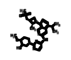 COC1CCN(c2nccc(Nc3cc4c(C(C)C)ccc(N5C[C@H](CS(C)(=O)=O)[C@H]5C)c4cn3)n2)CC1O